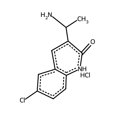 CC(N)c1cc2cc(Cl)ccc2[nH]c1=O.Cl